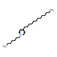 CCCCCCCCCCCCCc1cc[n+](CCCCCCC)cc1